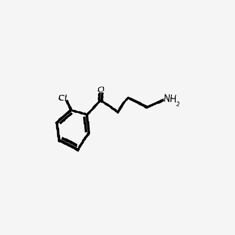 NCCCC(=O)c1ccccc1Cl